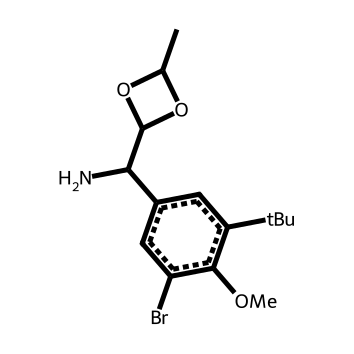 COc1c(Br)cc(C(N)C2OC(C)O2)cc1C(C)(C)C